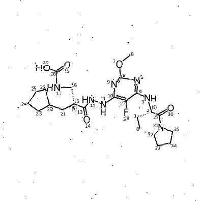 CC[C@H](Nc1nc(OC)nc(NNC(=O)[C@@H](CNC(=O)O)CC2CCCC2)c1F)C(=O)N1CCCC1